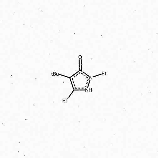 CCc1[nH]n(CC)c(=O)c1C(C)(C)C